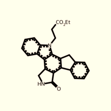 CCOC(=O)CCn1c2ccccc2c2c3c(c4c(c21)Cc1ccccc1-4)C(=O)NC3